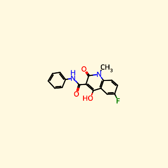 Cn1c(=O)c(C(=O)Nc2ccccc2)c(O)c2cc(F)ccc21